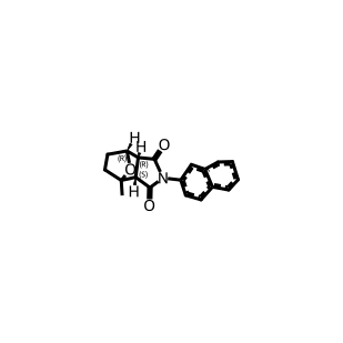 CC12CC[C@@H](O1)[C@@H]1C(=O)N(c3ccc4ccccc4c3)C(=O)[C@@H]12